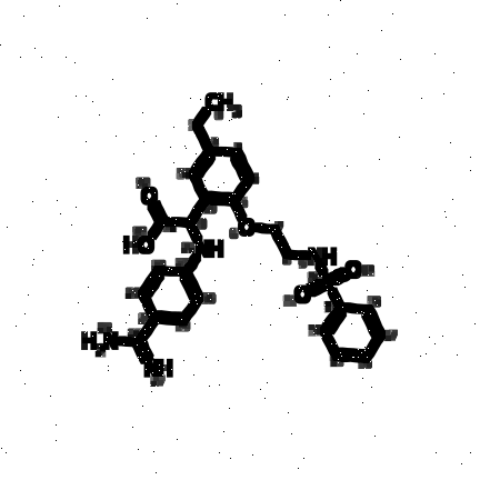 CCc1ccc(OCCNS(=O)(=O)c2ccccc2)c(C(Nc2ccc(C(=N)N)cc2)C(=O)O)c1